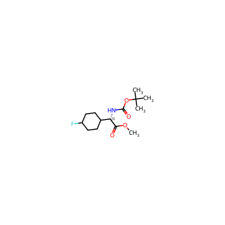 COC(=O)[C@@H](NC(=O)OC(C)(C)C)C1CCC(F)CC1